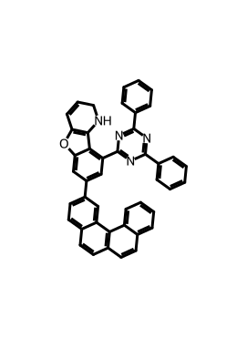 C1=Cc2oc3cc(-c4ccc5ccc6ccc7ccccc7c6c5c4)cc(-c4nc(-c5ccccc5)nc(-c5ccccc5)n4)c3c2NC1